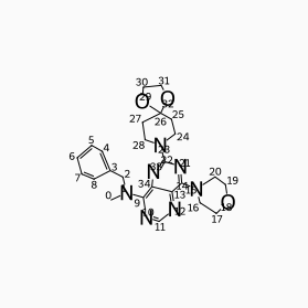 CN(Cc1ccccc1)c1ncnc2c(N3CCOCC3)nc(N3CCC4(CC3)OCCO4)nc12